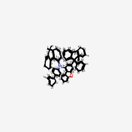 CC1(C)C2=C(c3ccccc31)C(N(c1ccc(-c3ccccc3)cc1)c1cc(C3(c4ccccc4)c4ccccc4C4CC=CCC43C)cc3oc4ccccc4c13)CC=C2